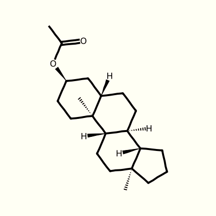 CC(=O)O[C@@H]1CC[C@@]2(C)[C@@H](CC[C@H]3[C@@H]4CCC[C@@]4(C)CC[C@@H]32)C1